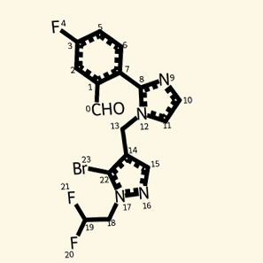 O=Cc1cc(F)ccc1-c1nccn1Cc1cnn(CC(F)F)c1Br